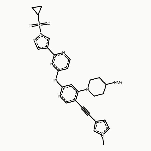 CNC1CCN(c2cc(Nc3ccnc(-c4cnn(S(=O)(=O)C5CC5)c4)n3)ncc2C#Cc2ccn(C)n2)CC1